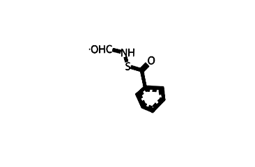 O=[C]NSC(=O)c1ccccc1